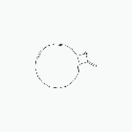 O=C1OC2C/C=C\C/C=C\CCCCCCC/C=C/12